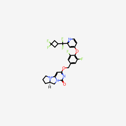 O=c1nc(OCc2cc(F)c(Oc3ccnc(C(F)(F)C4CC(F)(F)C4)c3)c(F)c2)cc2n1C[C@H]1CCCN21